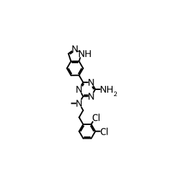 CN(CCc1cccc(Cl)c1Cl)c1nc(N)nc(-c2ccc3cn[nH]c3c2)n1